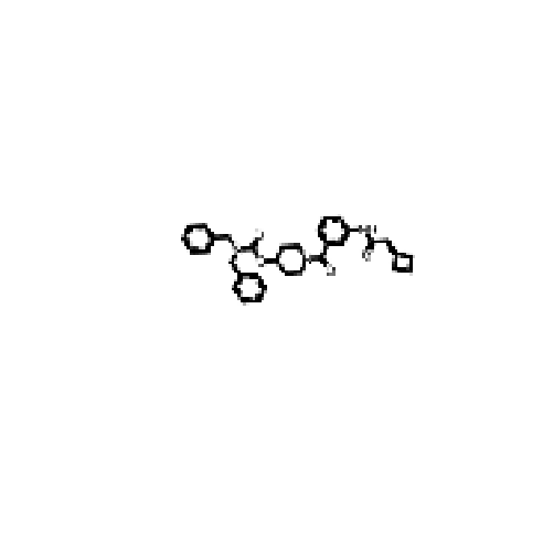 O=C(C=C1CCC1)Nc1cccc(C(=O)N2CCC(OC(=O)N(Cc3ccccc3)Cc3ccccc3)CC2)c1